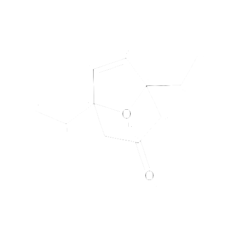 CCC12C=CC(CC)(CC(=O)C1)O2